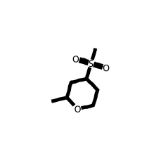 CC1CC(S(C)(=O)=O)CCO1